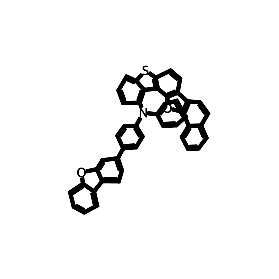 c1ccc(N(c2ccc(-c3ccc4c(c3)oc3ccccc34)cc2)c2cccc3sc4ccc5c6ccc7ccccc7c6oc5c4c23)cc1